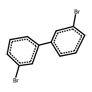 Brc1[c]ccc(-c2cc[c]c(Br)c2)c1